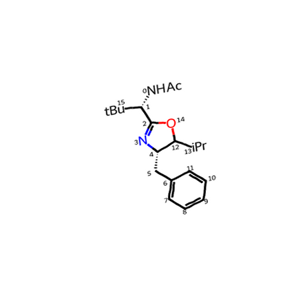 CC(=O)N[C@H](C1=N[C@@H](Cc2ccccc2)C(C(C)C)O1)C(C)(C)C